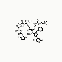 CC(NC(=O)C(NC(=O)CN1C(=O)C=CC1=O)C(C)C)C(=O)NC(CSCC(=O)N(CCCNC(=O)OCC[Si](C)(C)C)C(c1cc(-c2cc(F)ccc2F)cn1Cc1ccccc1)C(C)(C)C)C(=O)O